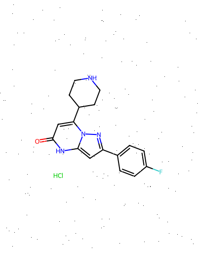 Cl.O=c1cc(C2CCNCC2)n2nc(-c3ccc(F)cc3)cc2[nH]1